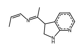 C/C=C\N=C(/C)C1CNc2ncccc21